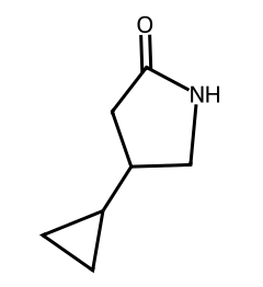 O=C1CC(C2CC2)CN1